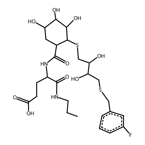 CCCNC(=O)C(CCC(=O)O)NC(=O)C1CC(O)C(O)C(O)C1SCC(O)C(O)CSCc1cccc(F)c1